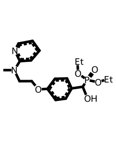 CCOP(=O)(OCC)C(O)c1ccc(OCCN(C)c2ccccn2)cc1